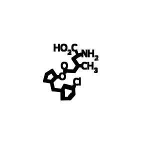 CC(CC(=O)OC1CCCC1Cc1cccc(Cl)c1)C[C@H](N)C(=O)O